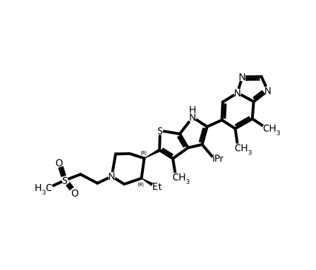 CC[C@H]1CN(CCS(C)(=O)=O)CC[C@H]1c1sc2[nH]c(-c3cn4ncnc4c(C)c3C)c(C(C)C)c2c1C